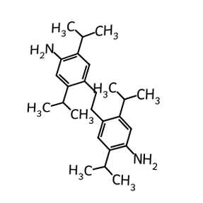 CC(C)c1cc(CCc2cc(C(C)C)c(N)cc2C(C)C)c(C(C)C)cc1N